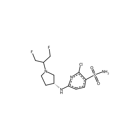 NS(=O)(=O)c1ccc(N[C@@H]2CCN(C(CF)CF)C2)nc1Cl